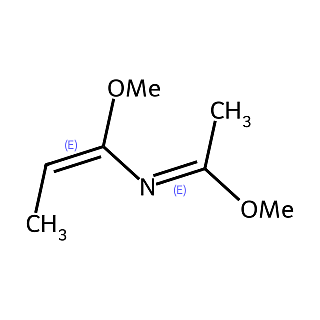 C/C=C(\N=C(/C)OC)OC